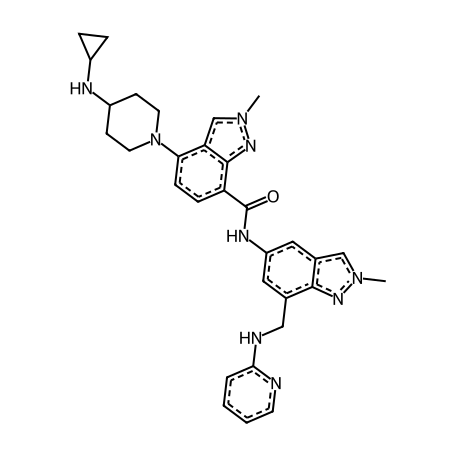 Cn1cc2cc(NC(=O)c3ccc(N4CCC(NC5CC5)CC4)c4cn(C)nc34)cc(CNc3ccccn3)c2n1